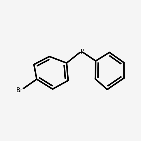 Brc1ccc([I+]c2ccccc2)cc1